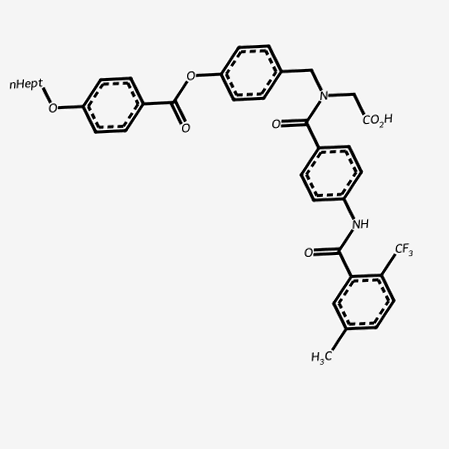 CCCCCCCOc1ccc(C(=O)Oc2ccc(CN(CC(=O)O)C(=O)c3ccc(NC(=O)c4cc(C)ccc4C(F)(F)F)cc3)cc2)cc1